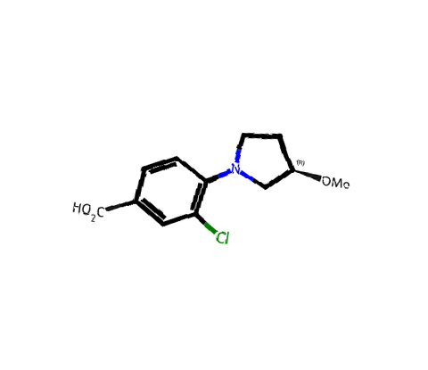 CO[C@@H]1CCN(c2ccc(C(=O)O)cc2Cl)C1